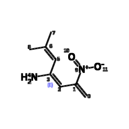 C=C(/C=C(/N)C=C(C)C)[N+](=O)[O-]